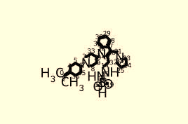 CC(C)=C1CCC(N2CCC(n3c(CCNN[SH](=O)=O)c(CN4CCCC4)c4ccccc43)CC2)CC1